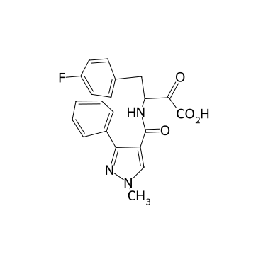 Cn1cc(C(=O)NC(Cc2ccc(F)cc2)C(=O)C(=O)O)c(-c2ccccc2)n1